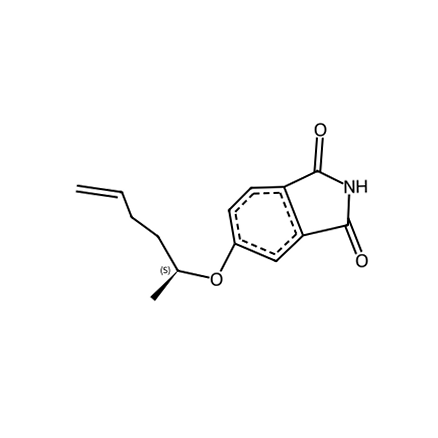 C=CCC[C@H](C)Oc1ccc2c(c1)C(=O)NC2=O